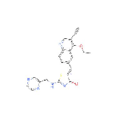 C#Cc1cnc2ccc(/C=C3\SC(NCc4cnccn4)=NC3=O)cc2c1OCC